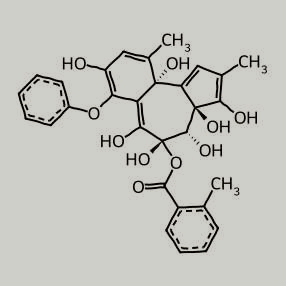 CC1=CC(O)=C(Oc2ccccc2)C2=C(O)[C@@](O)(OC(=O)c3ccccc3C)[C@@H](O)[C@]3(O)C(=CC(C)=C3O)[C@]12O